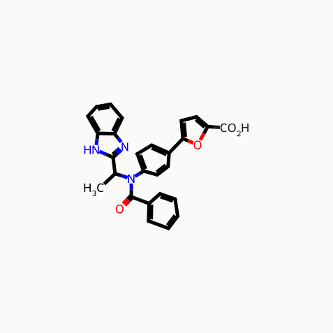 CC(c1nc2ccccc2[nH]1)N(C(=O)c1ccccc1)c1ccc(-c2ccc(C(=O)O)o2)cc1